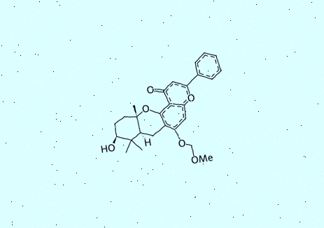 COCOc1cc2oc(-c3ccccc3)cc(=O)c2c2c1C[C@H]1C(C)(C)[C@@H](O)CC[C@]1(C)O2